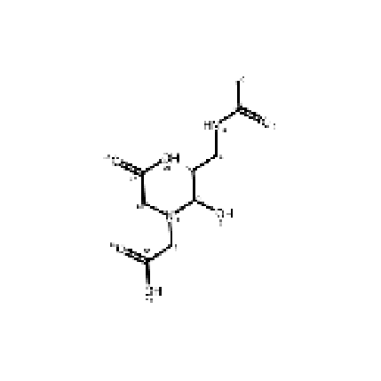 CC(=O)NCCC(O)N(CC(=O)O)CC(=O)O